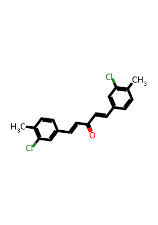 Cc1ccc(C=CC(=O)C=Cc2ccc(C)c(Cl)c2)cc1Cl